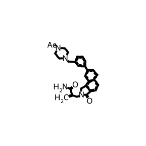 C=C(CN1Cc2c(ccc3ccc(-c4cccc(CN5CCN(C(C)=O)CC5)c4)cc23)C1=O)C(N)=O